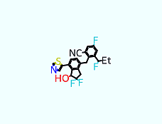 CCC(F)c1cc(F)cc(C#N)c1Cc1ccc(-c2cncs2)c2c1CC(F)(F)C2O